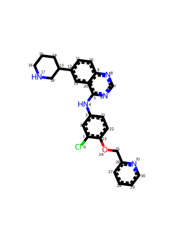 Clc1cc(Nc2ncnc3ccc(C4CCCNC4)cc23)ccc1OCc1ccccn1